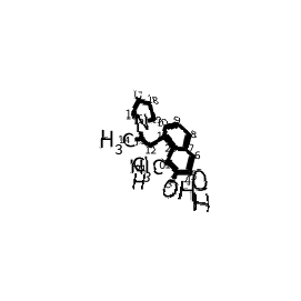 Cc1c(O)c(O)cc2cccc(CC(C)N3CCCC3)c12.Cl